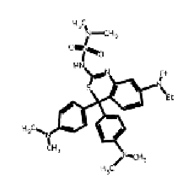 CCN(CC)c1ccc2c(c1)N=C(NS(=O)(=O)N(C)C)SC2(c1ccc(N(C)C)cc1)c1ccc(N(C)C)cc1